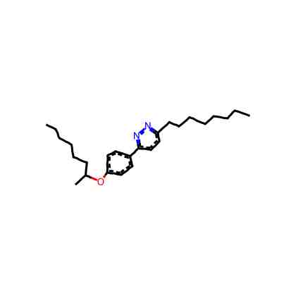 CCCCCCCCc1ccc(-c2ccc(OC(C)CCCCCC)cc2)nn1